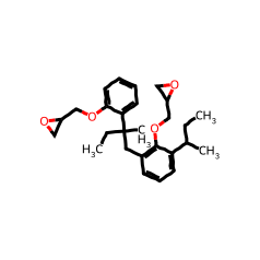 CCC(C)c1cccc(CC(C)(CC)c2ccccc2OCC2CO2)c1OCC1CO1